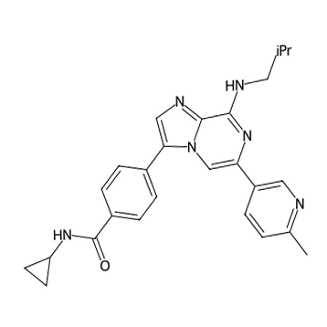 Cc1ccc(-c2cn3c(-c4ccc(C(=O)NC5CC5)cc4)cnc3c(NCC(C)C)n2)cn1